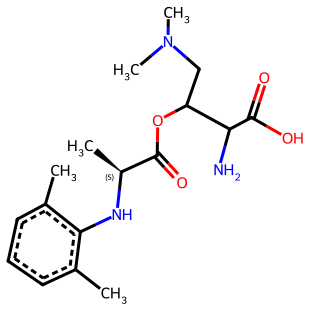 Cc1cccc(C)c1N[C@@H](C)C(=O)OC(CN(C)C)C(N)C(=O)O